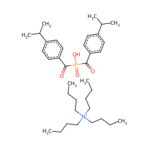 CC(C)c1ccc(C(=O)P(=O)(O)C(=O)c2ccc(C(C)C)cc2)cc1.CCCC[N+](CCCC)(CCCC)CCCC